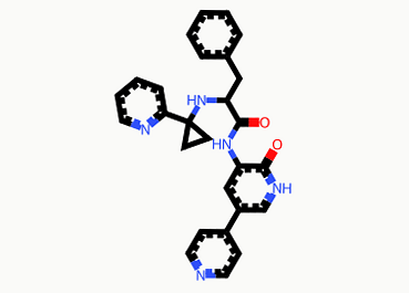 O=C(Nc1cc(-c2ccncc2)c[nH]c1=O)C(Cc1ccccc1)NC1(c2ccccn2)CC1